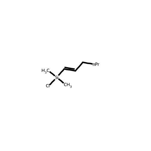 CCCC/C=C/[Si](C)(C)Cl